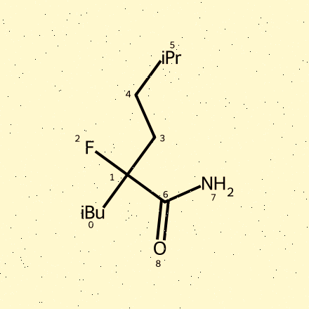 CCC(C)C(F)(CCC(C)C)C(N)=O